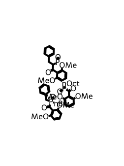 CCCCCCCC[P](=O)C(=O)c1c(OC)cccc1OC.CCCCP(=O)(Cc1ccccc1)C(=O)c1c(OC)cccc1OC.COc1cccc(OC)c1C(=O)C(Cc1ccccc1)P=O